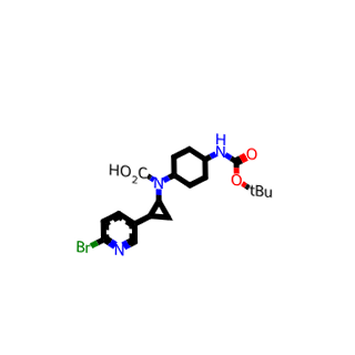 CC(C)(C)OC(=O)NC1CCC(N(C(=O)O)C2CC2c2ccc(Br)nc2)CC1